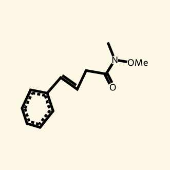 CON(C)C(=O)C/C=C/c1ccccc1